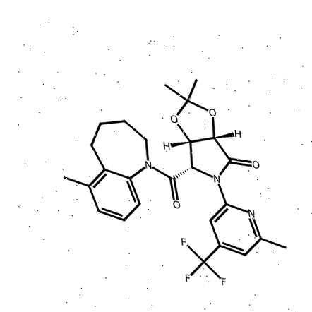 Cc1cc(C(F)(F)F)cc(N2C(=O)[C@H]3OC(C)(C)O[C@H]3[C@H]2C(=O)N2CCCCc3c(C)cccc32)n1